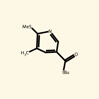 CSc1ncc(C(=O)C(C)(C)C)cc1C